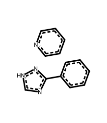 c1ccc(-c2nc[nH]n2)cc1.c1ccncc1